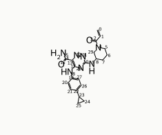 C=CC(=O)N1CCCC(Nc2nnc(C(N)=O)c(Nc3ccc(C4CC4)cc3)n2)C1